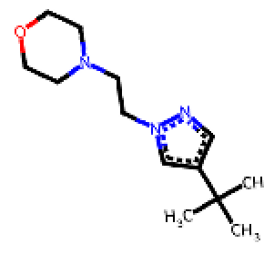 CC(C)(C)c1cnn(CCN2CCOCC2)c1